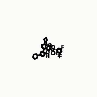 C[C@H]1[C@@H](c2cc(F)cc(F)c2)OC(=O)N1Cc1nc(N2CCC2)ccc1-c1cc(C2CCCCC2)ccc1O